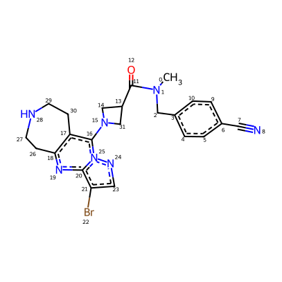 CN(Cc1ccc(C#N)cc1)C(=O)C1CN(c2c3c(nc4c(Br)cnn24)CCNCC3)C1